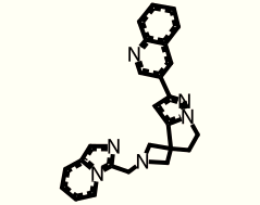 c1ccc2ncc(-c3cc4n(n3)CCC43CN(Cc4ncc5ccccn45)C3)cc2c1